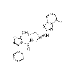 Cc1onc(-c2ccccc2)c1C(=O)N1CC[C@@H](Nc2nc3c(F)cccc3s2)C1